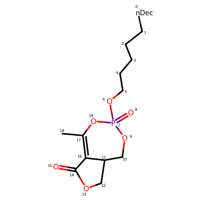 CCCCCCCCCCCCCCCOP1(=O)OCC2COC(=O)C2=C(C)O1